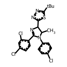 CC1C(c2nnc(C(C)(C)C)s2)N=C(c2ccc(Cl)cc2Cl)N1c1ccc(Cl)cc1